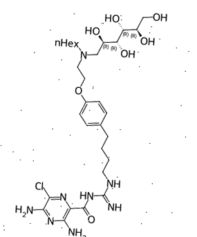 CCCCCCN(CCOc1ccc(CCCCNC(=N)NC(=O)c2nc(Cl)c(N)nc2N)cc1)C[C@@H](O)[C@@H](O)[C@H](O)[C@H](O)CO